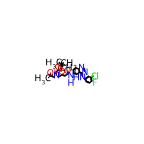 C[C@@H](O)CN(CC=CC(=O)Nc1ccc2ncnc(Nc3ccc(F)c(Cl)c3)c2c1)CC(=O)OC(C)(C)C